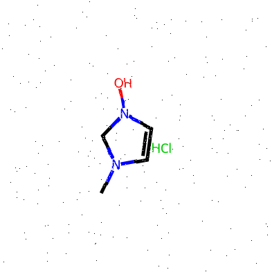 CN1C=CN(O)C1.Cl